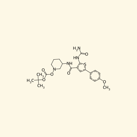 COc1ccc(-c2cc(C(=O)NC3CCCN(OC(=O)OC(C)(C)C)C3)c(NC(N)=O)s2)cc1